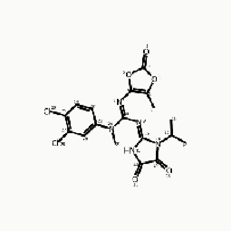 Cc1oc(=O)oc1N=C(N=C1NC(=O)C(=O)N1C(C)C)N(C)c1ccc(Cl)c(Cl)c1